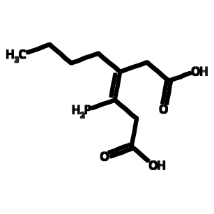 CCCCC(CC(=O)O)=C(P)CC(=O)O